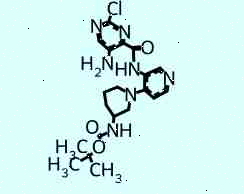 CC(C)(C)OC(=O)NC1CCCN(c2ccncc2NC(=O)c2nc(Cl)ncc2N)C1